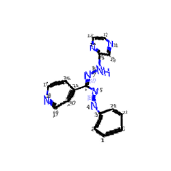 c1ccc(/N=N/C(=N\Nc2cnccn2)c2ccncc2)cc1